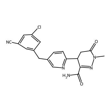 CN1N=C(C(N)=O)C(c2ccc(Cc3cc(Cl)cc(C#N)c3)cn2)CC1=O